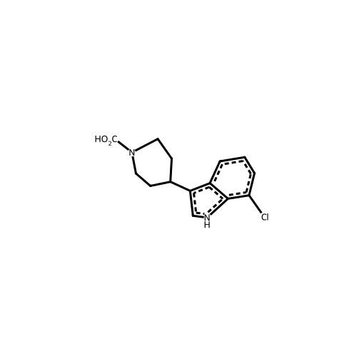 O=C(O)N1CCC(c2c[nH]c3c(Cl)cccc23)CC1